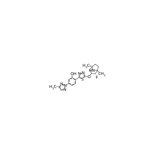 Cc1cnn(-c2ccc(-c3nnc(O[C@H]4C[C@]5(C)CC[C@@](C)(N5)[C@@H]4F)s3)c(O)c2)n1